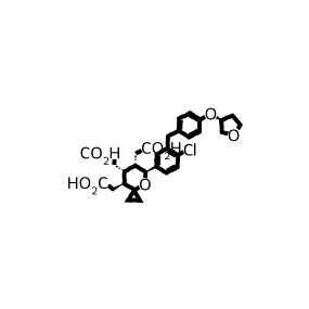 O=C(O)C[C@@H]1[C@H](CC(=O)O)[C@@H](c2ccc(Cl)c(Cc3ccc(O[C@H]4CCOC4)cc3)c2)OC2(CC2)[C@H]1CC(=O)O